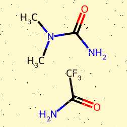 CN(C)C(N)=O.NC(=O)C(F)(F)F